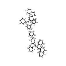 C1=CC2=CCc3c(cc(N(c4ccccc4)c4ccc(-c5ccc(-c6ccc(N(c7ccccc7)c7cc8c9ccccc9ccc8c8ccccc78)cc6)cc5)cc4)c4ccccc34)C2=CC1